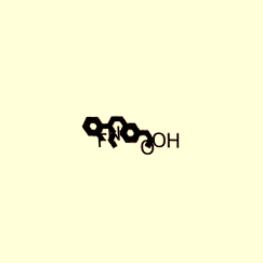 CCN1c2ccc(CC(=O)O)cc2CCC1c1ccccc1F